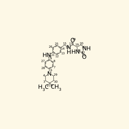 CC1(C)CCN(c2ccc(Nc3ccc(CNC(=O)C4CNC(=O)N4)cc3)cc2)CC1